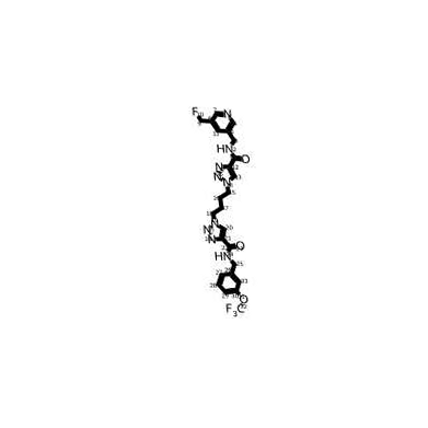 O=C(NCc1cncc(CF)c1)c1cn(CCCCn2cc(C(=O)NCc3cccc(OC(F)(F)F)c3)nn2)nn1